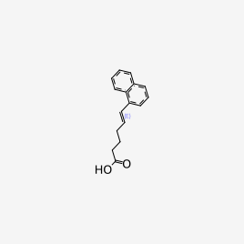 O=C(O)CCC/C=C/c1cccc2ccccc12